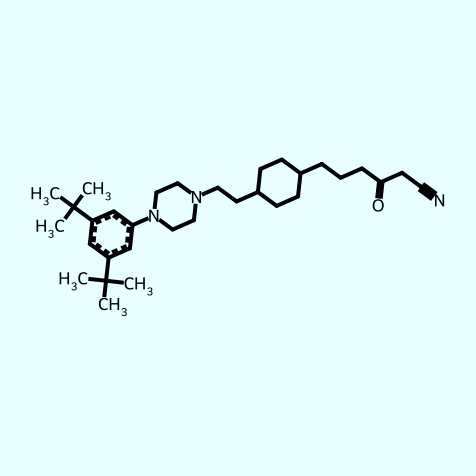 CC(C)(C)c1cc(N2CCN(CCC3CCC(CCCC(=O)CC#N)CC3)CC2)cc(C(C)(C)C)c1